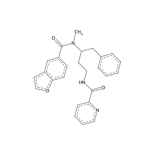 CN(C(=O)c1ccc2occc2c1)C(CCNC(=O)c1ccccn1)Cc1ccccc1